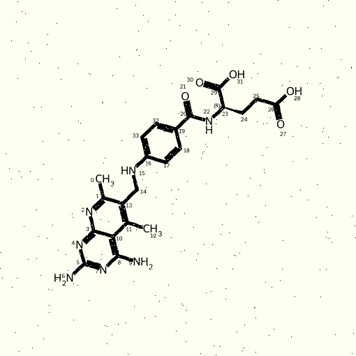 Cc1nc2nc(N)nc(N)c2c(C)c1CNc1ccc(C(=O)N[C@H](CCC(=O)O)C(=O)O)cc1